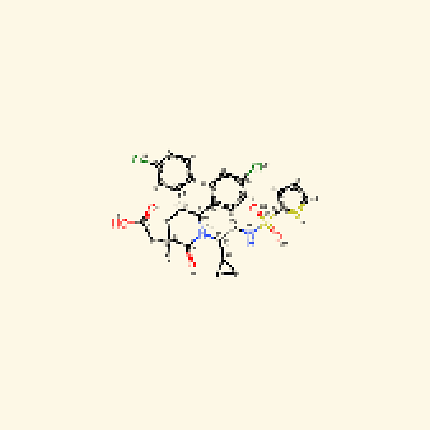 C[C@@]1(CC(=O)O)C[C@H](c2cccc(Cl)c2)[C@@H](c2ccc(Cl)cc2)N([C@H](CNS(=O)(=O)c2cccs2)C2CC2)C1=O